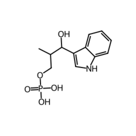 CC(COP(=O)(O)O)C(O)c1c[nH]c2ccccc12